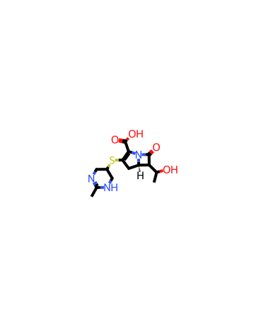 CC1=NCC(SC2=C(C(=O)O)N3C(=O)C(C(C)O)[C@H]3C2)CN1